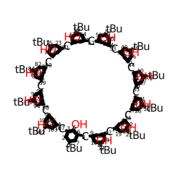 CC(C)(C)c1cc2c(O)c(c1)Cc1cc(C(C)(C)C)cc(c1O)Cc1cc(C(C)(C)C)cc(c1O)Cc1cc(C(C)(C)C)cc(c1O)Cc1cc(C(C)(C)C)cc(c1O)Cc1cc(C(C)(C)C)cc(c1O)Cc1cc(C(C)(C)C)cc(c1O)Cc1cc(C(C)(C)C)cc(c1O)Cc1cc(C(C)(C)C)cc(c1O)Cc1cc(C(C)(C)C)cc(c1O)Cc1cc(C(C)(C)C)cc(c1O)Cc1cc(C(C)(C)C)cc(c1O)C2